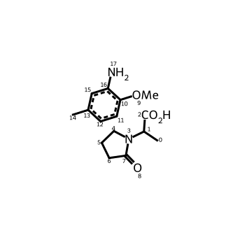 CC(C(=O)O)N1CCCC1=O.COc1ccc(C)cc1N